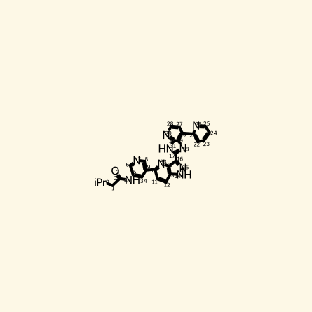 CC(C)CC(=O)Nc1cncc(-c2ccc3[nH]nc(-c4nc5c(-c6ccccn6)ccnc5[nH]4)c3n2)c1